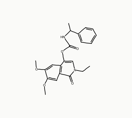 CCn1cc(OC(=O)NC(C)c2ccccc2)c2cc(OC)c(OC)cc2c1=O